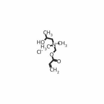 C=CC(=O)OC[N+](C)(C)CC(C)O.[Cl-]